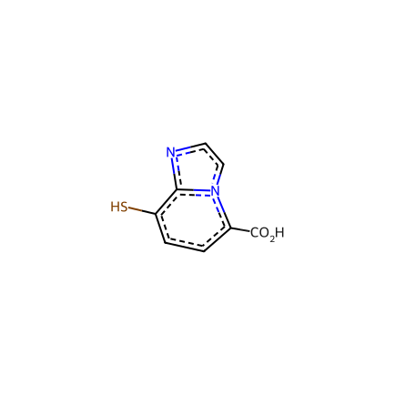 O=C(O)c1ccc(S)c2nccn12